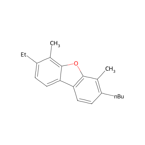 CCCCc1ccc2c(oc3c(C)c(CC)ccc32)c1C